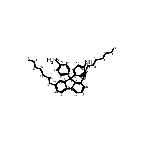 CCCCCCCC#Cc1cccc2c1C(c1ccc(N)cc1)(c1ccc(N)cc1)c1cc(CCCCCCC)ccc1-2